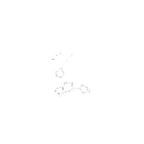 Cn1cc(-c2cc3nccn3c(-c3ccn([C@H](CCF)[C@H]4CC4(F)F)c3)n2)cn1